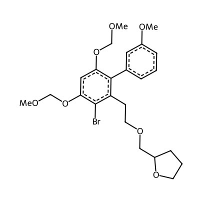 COCOc1cc(OCOC)c(-c2cccc(OC)c2)c(CCOCC2CCCO2)c1Br